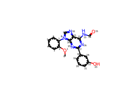 COc1ccccc1-n1cnc2c(NC=O)nc(-c3cccc(O)c3)nc21